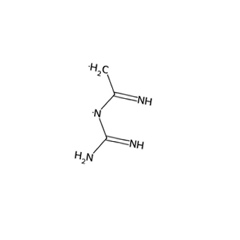 [CH2]C(=N)[N]C(=N)N